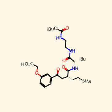 CC[C@H](C)[C@H](NC(=O)[C@H](CCSC)CC(=O)c1cccc(OCC(=O)O)c1)C(=O)NCCNC(=O)OCC(C)C